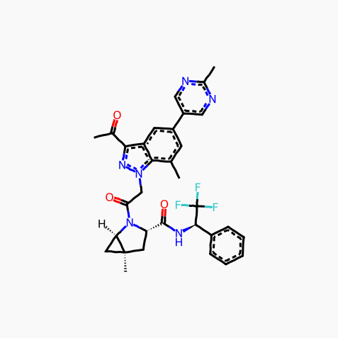 CC(=O)c1nn(CC(=O)N2[C@H](C(=O)N[C@H](c3ccccc3)C(F)(F)F)C[C@@]3(C)C[C@@H]23)c2c(C)cc(-c3cnc(C)nc3)cc12